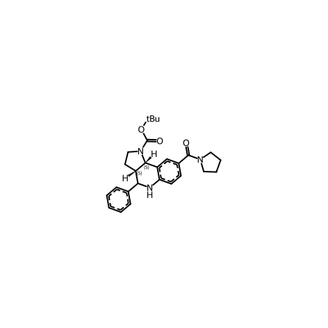 CC(C)(C)OC(=O)N1CC[C@H]2C(c3ccccc3)Nc3ccc(C(=O)N4CCCC4)cc3[C@H]21